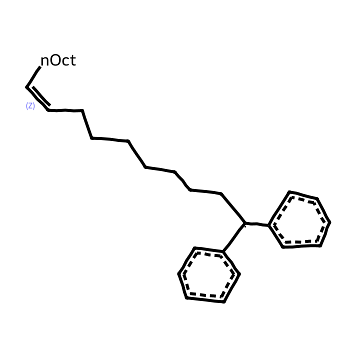 CCCCCCCC/C=C\CCCCCCC[C](c1ccccc1)c1ccccc1